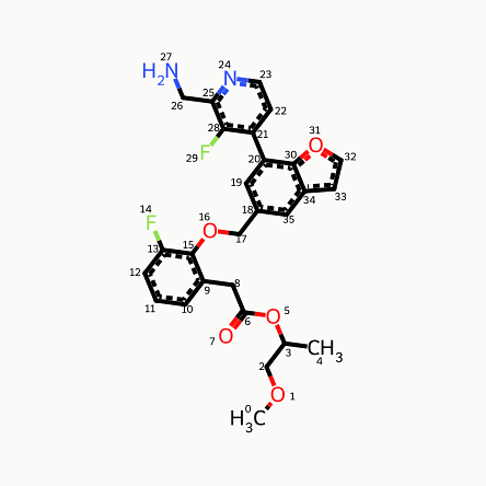 COCC(C)OC(=O)Cc1cccc(F)c1OCc1cc(-c2ccnc(CN)c2F)c2occc2c1